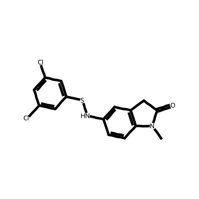 CN1C(=O)Cc2cc(NSc3cc(Cl)cc(Cl)c3)ccc21